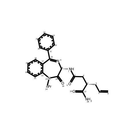 C=CC[C@@H](CC(=O)N[C@H]1N=C(c2ccccc2)c2ccccc2N(CCC)C1=O)C(N)=O